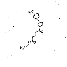 CCOC(=O)CCCC(=O)c1ccc(-c2ccc(C)cc2)s1